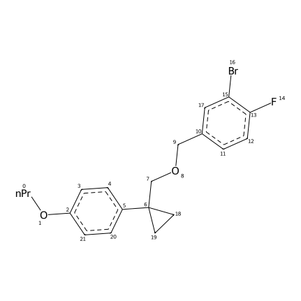 CCCOc1ccc(C2(COCc3ccc(F)c(Br)c3)CC2)cc1